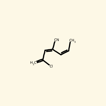 C=C(Cl)/C=C(C#N)\C=C/C